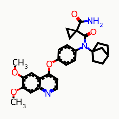 COc1cc2nccc(Oc3ccc(N(C(=O)C4(C(N)=O)CC4)C45CCC(CC4)C5)cc3)c2cc1OC